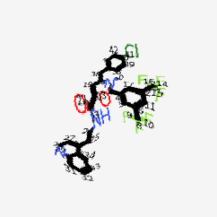 CN(C(=O)c1cc(C(F)(F)F)cc(C(F)(F)F)c1)C(C=CC(=O)NCCc1ccnc2ccccc12)Cc1ccc(Cl)cc1